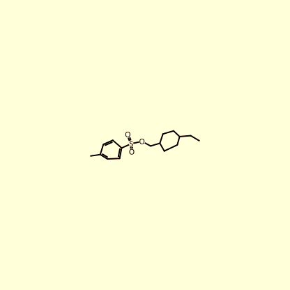 CCC1CCC(COS(=O)(=O)c2ccc(C)cc2)CC1